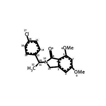 COc1cc2c(c(OC)c1)C(=O)N([C@@H](C)c1ccc(Cl)cc1)C2